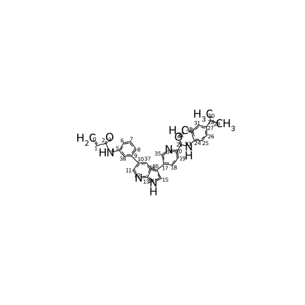 C=CC(=O)Nc1cccc(-c2cnc3[nH]cc(-c4ccc(C(=O)Nc5ccc(C(C)C)cc5C)nc4)c3c2)c1